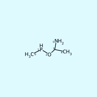 CPOC(C)N